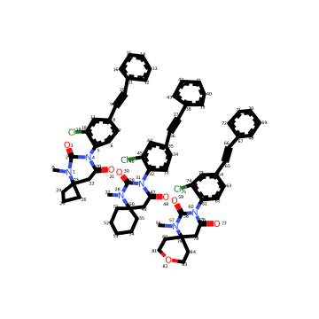 CN1C(=O)N(c2ccc(C#Cc3ccccc3)cc2Cl)C(=O)CC12CCC2.CN1C(=O)N(c2ccc(C#Cc3ccccc3)cc2Cl)C(=O)CC12CCCCC2.CN1C(=O)N(c2ccc(C#Cc3ccccc3)cc2Cl)C(=O)CC12CCOCC2